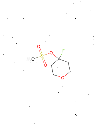 CS(=O)(=O)OC1(F)CCOCC1